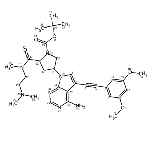 COc1cc(C#Cc2cn(C3CC(C(=O)N(C)CCN(C)C)N(C(=O)OC(C)(C)C)C3)c3ncnc(N)c23)cc(OC)c1